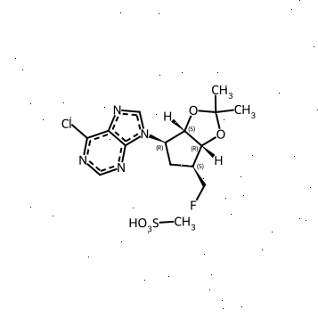 CC1(C)O[C@@H]2[C@@H](CF)C[C@@H](n3cnc4c(Cl)ncnc43)[C@@H]2O1.CS(=O)(=O)O